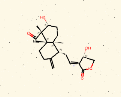 C=C1CC[C@@H]2[C@](C)(C=O)[C@H](O)CC[C@@]2(C)[C@@H]1C/C=C1/C(=O)OC[C@H]1O